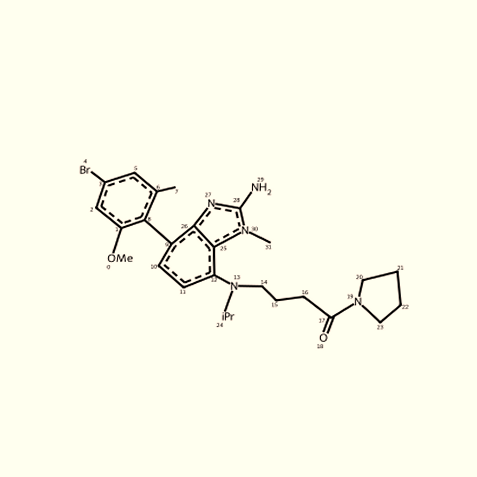 COc1cc(Br)cc(C)c1-c1ccc(N(CCCC(=O)N2CCCC2)C(C)C)c2c1nc(N)n2C